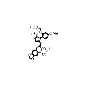 CCCCc1ncc(/C=C(\Cc2cc3c(cc2OCC)OCO3)C(=O)O)n1-c1ccc(OC)cc1OCC(=O)O